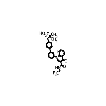 CC(C)(Cc1ccc(-c2cccc(-n3cc(C(=O)NCC(F)(F)F)c(=O)c4cccnc43)c2)cc1)C(=O)O